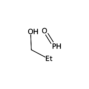 CCCO.O=P